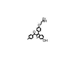 CCNCCOc1ccc(-c2c(C(=O)c3ccc(C)cc3)sc3cc(O)ccc23)cc1